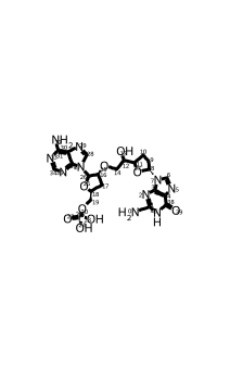 Nc1nc2c(ncn2[C@H]2CCC(C(O)CO[C@H]3C[C@@H](COP(=O)(O)O)OC3n3cnc4c(N)ncnc43)O2)c(=O)[nH]1